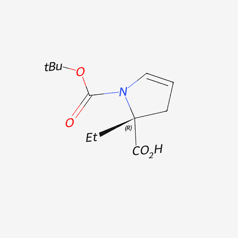 CC[C@]1(C(=O)O)CC=CN1C(=O)OC(C)(C)C